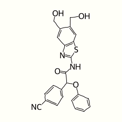 N#Cc1ccc(C(Oc2ccccc2)C(=O)Nc2nc3cc(CO)c(CO)cc3s2)cc1